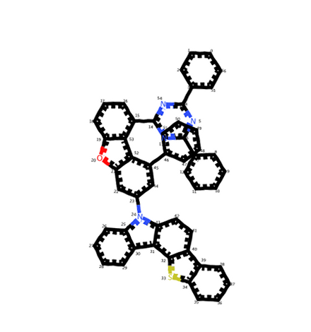 c1ccc(-c2nc(-c3ccccc3)nc(-c3cccc4oc5cc(-n6c7ccccc7c7c8sc9ccccc9c8ccc76)cc(-c6ccccc6)c5c34)n2)cc1